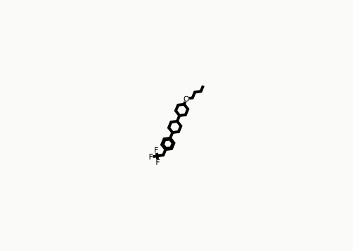 CCCCOC1CCC(C2CCC(c3ccc(CC(F)(F)F)cc3)CC2)CC1